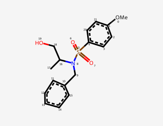 COc1ccc(S(=O)(=O)N(Cc2ccccc2)C(C)CO)cc1